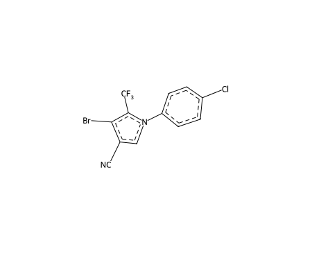 N#Cc1cn(-c2ccc(Cl)cc2)c(C(F)(F)F)c1Br